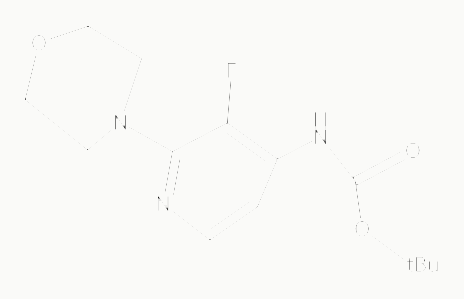 CC(C)(C)OC(=O)Nc1ccnc(N2CCOCC2)c1F